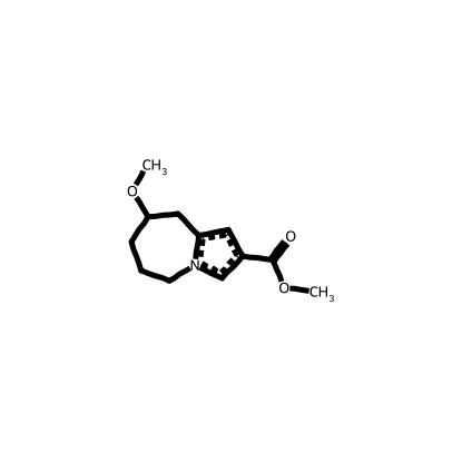 COC(=O)c1cc2n(c1)CCCC(OC)C2